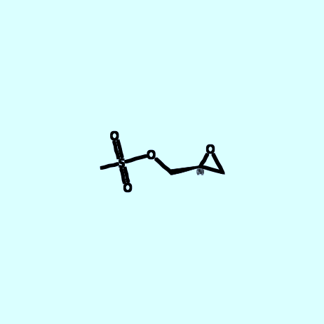 CS(=O)(=O)OC[C@@H]1CO1